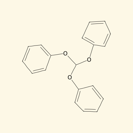 c1ccc(OC(Oc2ccccc2)Oc2ccccc2)cc1